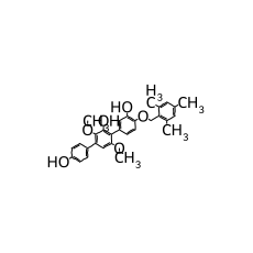 COc1cc(-c2ccc(O)cc2)c(OC)c(O)c1-c1ccc(OCc2c(C)cc(C)cc2C)c(O)c1